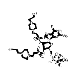 Nc1nc2c(ncn2[C@@H]2O[C@H](COP(=O)(O)OP(=O)(O)O)[C@@H](OS(=O)(=O)CCN3CCN(CCO)CC3)[C@H]2OS(=O)(=O)CCN2CCN(CCO)CC2)c(=O)[nH]1